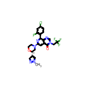 Cn1cc([C@H]2CN(c3cc4c(=O)n(CC(F)(F)F)cnc4c(-c4ccc(Cl)cc4F)n3)CCO2)cn1